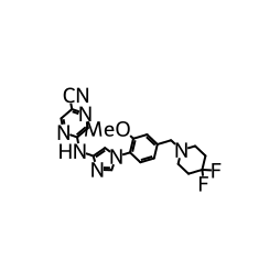 COc1cc(CN2CCC(F)(F)CC2)ccc1-n1cnc(Nc2cnc(C#N)cn2)c1